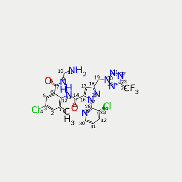 Cc1cc(Cl)cc(C(=O)NCN)c1NC(=O)c1cc(Cn2nnc(C(F)(F)F)n2)nn1-c1ncccc1Cl